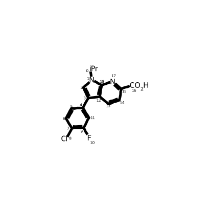 CC(C)n1cc(-c2ccc(Cl)c(F)c2)c2ccc(C(=O)O)nc21